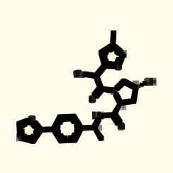 Cc1cc(C(C(=O)N2C[C@H](O)C[C@H]2C(=O)N[C@@H](C)c2ccc(-c3cnco3)cc2)C(C)(C)C)on1